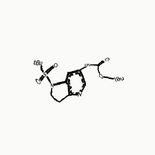 CC(C)(C)OC(=O)Nc1cnc2c(c1)N(S(=O)(=O)C(C)(C)C)CC2